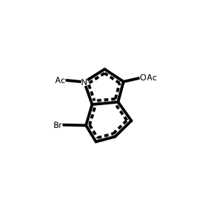 CC(=O)Oc1cn(C(C)=O)c2c(Br)cccc12